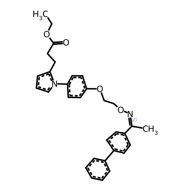 CCOC(=O)CCc1cccn1-c1ccc(OCCO/N=C(/C)c2ccc(-c3ccccc3)cc2)cc1